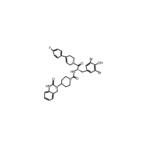 O=C(N[C@H](Cc1cc(Br)c(O)c(Br)c1)C(=O)N1CC=C(c2ccc(F)cc2)CC1)N1CCC(N2Cc3ccccc3NC2=O)CC1